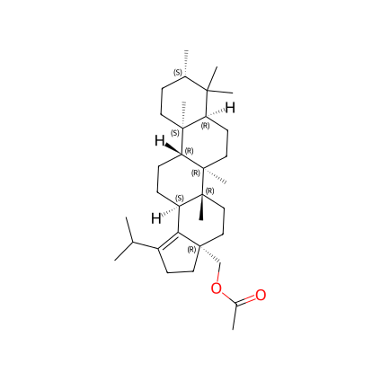 CC(=O)OC[C@]12CCC(C(C)C)=C1[C@H]1CC[C@@H]3[C@@]4(C)CC[C@H](C)C(C)(C)[C@H]4CC[C@@]3(C)[C@]1(C)CC2